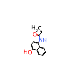 C=CC(=O)Nc1ccc(O)c2ccccc12